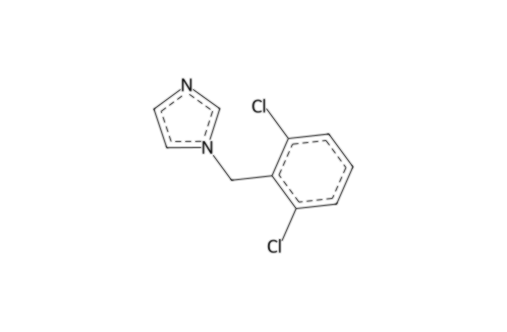 Clc1cccc(Cl)c1Cn1ccnc1